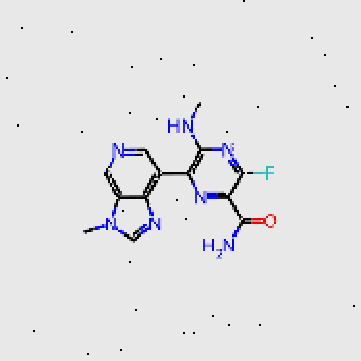 CNc1nc(F)c(C(N)=O)nc1-c1cncc2c1ncn2C